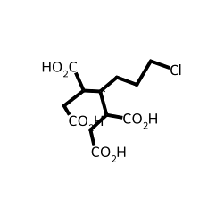 O=C(O)CC([C](CCCCl)C(CC(=O)O)C(=O)O)C(=O)O